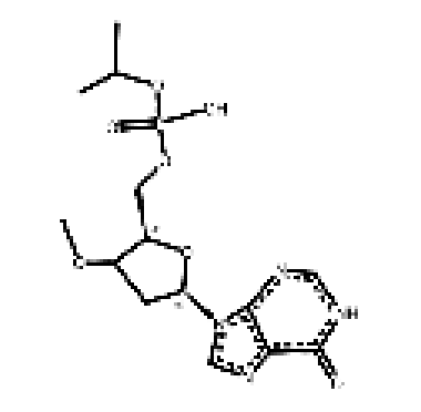 COC1C[C@H](n2cnc3c(=O)[nH]cnc32)O[C@@H]1COP(=O)(O)OC(C)C